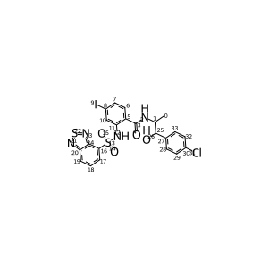 CC(NC(=O)c1ccc(I)cc1NS(=O)(=O)c1cccc2nsnc12)C(O)c1ccc(Cl)cc1